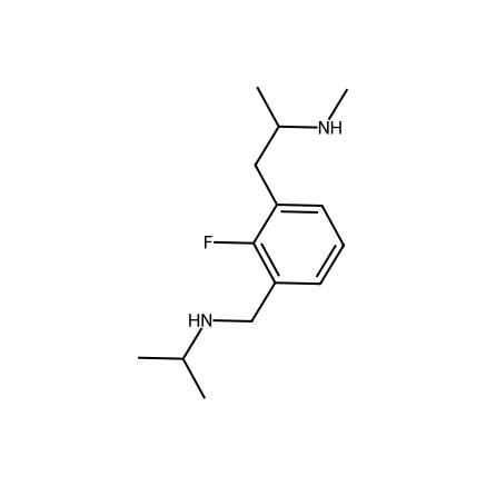 CNC(C)Cc1cccc(CNC(C)C)c1F